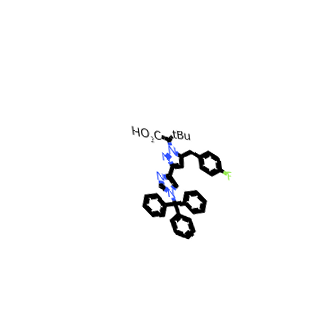 CC(C)(C)C(C(=O)O)n1nc(-c2cn(C(c3ccccc3)(c3ccccc3)c3ccccc3)cn2)cc1Cc1ccc(F)cc1